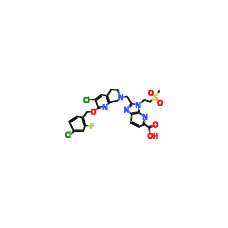 CS(=O)(=O)CCn1c(CN2CCc3cc(Cl)c(OCc4ccc(Cl)cc4F)nc3C2)nc2ccc(C(=O)O)nc21